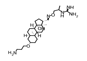 CC(CO/N=C/[C@H]1CC[C@]2(O)[C@@H]3CC[C@@H]4C[C@@H](OCCCN)CC[C@]4(C)[C@H]3CC[C@]12C)NC(=N)N